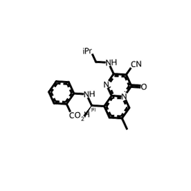 Cc1cc([C@@H](C)Nc2ccccc2C(=O)O)c2nc(NCC(C)C)c(C#N)c(=O)n2c1